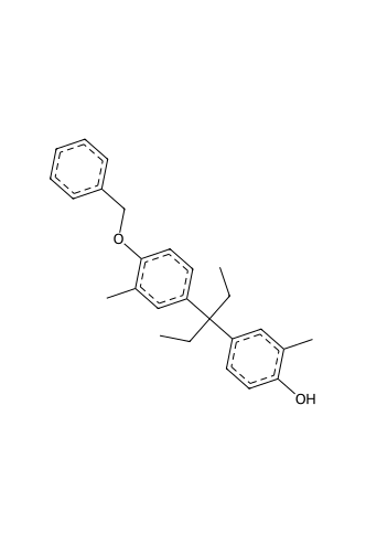 CCC(CC)(c1ccc(O)c(C)c1)c1ccc(OCc2ccccc2)c(C)c1